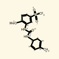 COc1ccc(S(=O)(=O)C(F)(F)F)cc1NC(=O)NC1C=CC(C)=CC1